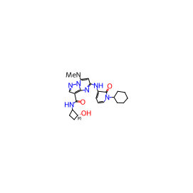 CNc1cc(Nc2cccn(C3CCCCC3)c2=O)nc2c(C(=O)NC3CC[C@H]3O)cnn12